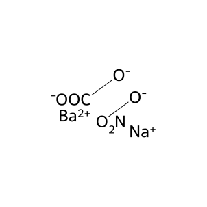 O=C([O-])[O-].O=[N+]([O-])[O-].[Ba+2].[Na+]